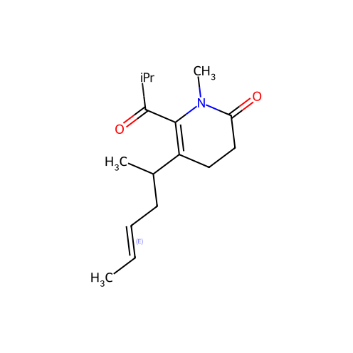 C/C=C/CC(C)C1=C(C(=O)C(C)C)N(C)C(=O)CC1